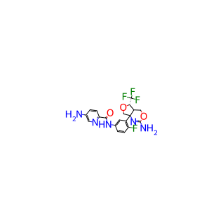 NC1=NC2(c3cc(NC(=O)c4ccc(N)cn4)ccc3F)CO[C@H](C(F)(F)F)C2CO1